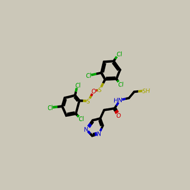 Clc1cc(Cl)c(SOSc2c(Cl)cc(Cl)cc2Cl)c(Cl)c1.O=C(Cc1cncnc1)NCCS